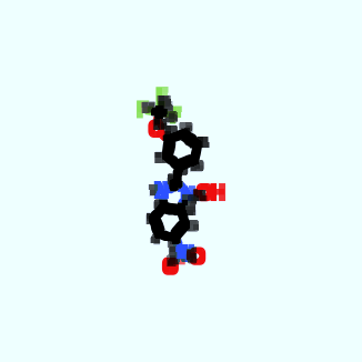 O=[N+]([O-])c1ccc2nc(-c3cccc(OC(F)(F)F)c3)n(O)c2c1